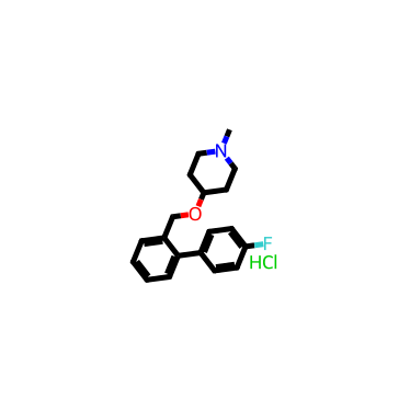 CN1CCC(OCc2ccccc2-c2ccc(F)cc2)CC1.Cl